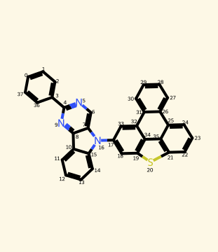 c1ccc(-c2ncc3c(n2)c2ccccc2n3-c2cc3sc4cccc5c6ccccc6c(c2)c3c45)cc1